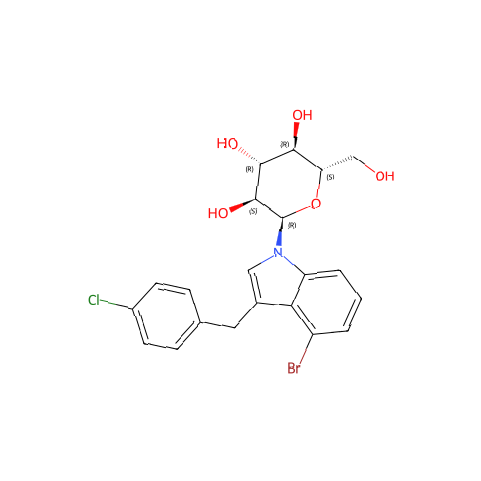 OC[C@@H]1O[C@@H](n2cc(Cc3ccc(Cl)cc3)c3c(Br)cccc32)[C@@H](O)[C@H](O)[C@H]1O